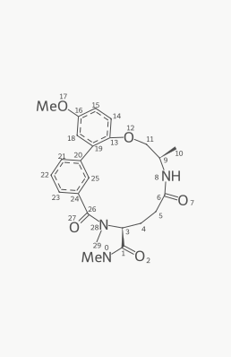 CNC(=O)[C@@H]1CCC(=O)N[C@H](C)COc2ccc(OC)cc2-c2cccc(c2)C(=O)N1C